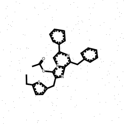 CCc1ccc(Cc2nc3c(Cc4ccccc4)nc(-c4ccccc4)cn3c2OC(C)=O)s1